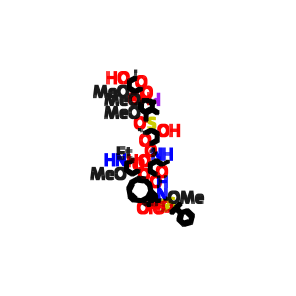 CCN[C@H]1CO[C@@H](O[C@H]2[C@H](O[C@H]3C#CC=CC#C[C@]4(O)CC(=O)C(NC(=O)OC)=C3/C4=C\CSSC(C)(C)c3ccccc3)O[C@H](C)[C@@H](NO[C@H]3C[C@H](O)[C@H](SC(=O)c4c(C)c(I)c(O[C@@H]5O[C@@H](C)[C@H](O)[C@@H](OC)[C@H]5O)c(OC)c4OC)[C@@H](C)O3)[C@@H]2O)C[C@@H]1OC